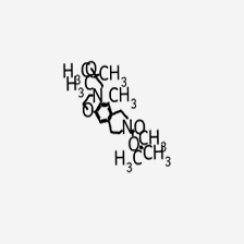 COC(C)(C)CN1CCOc2cc3c(c(C)c21)CCN(C(=O)OC(C)(C)C)CC3